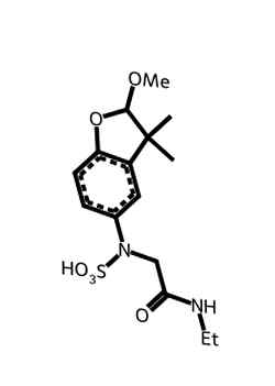 CCNC(=O)CN(c1ccc2c(c1)C(C)(C)C(OC)O2)S(=O)(=O)O